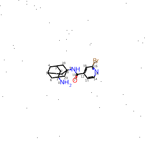 NC12CC3CC(C1)CC(NC(=O)c1ccnc(Br)c1)(C3)C2